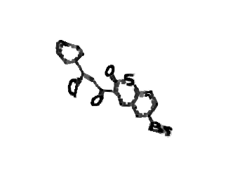 O=C(C=C(Cl)c1ccccc1)c1cc2cc(Br)ccc2sc1=O